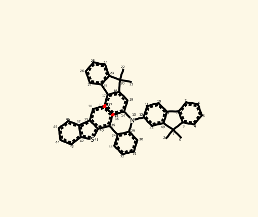 CC1(C)c2ccccc2-c2ccc(N(c3ccc4c(c3)C(C)(C)c3ccccc3-4)c3ccccc3-c3cccc4c3sc3ccccc34)cc21